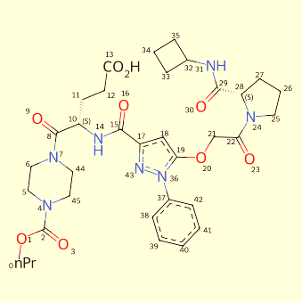 CCCOC(=O)N1CCN(C(=O)[C@H](CCC(=O)O)NC(=O)c2cc(OCC(=O)N3CCC[C@H]3C(=O)NC3CCC3)n(-c3ccccc3)n2)CC1